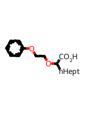 CCCCCCCC(OCCOc1ccccc1)C(=O)O